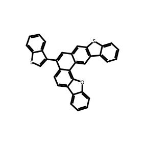 c1ccc2c(c1)oc1c2ccc2c(-c3csc4ccccc34)cc3cc4sc5ccccc5c4cc3c21